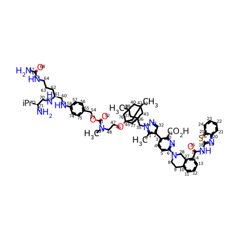 Cc1c(-c2ccc(N3CCc4cccc(C(=O)Nc5nc6ccccc6s5)c4C3)nc2C(=O)O)cnn1CC12CC3(C)CC(C)(C1)CC(OCCN(C)C(=O)OCc1ccc(NC[C@H](CCCNC(N)=O)NC[C@@H](N)C(C)C)cc1)(C3)C2